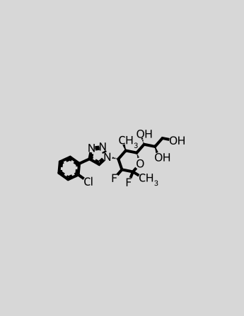 C[C@H]1[C@H]([C@H](O)[C@H](O)CO)OC(C)(F)C(F)[C@@H]1n1cc(-c2ccccc2Cl)nn1